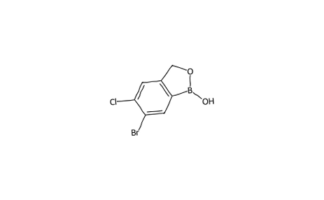 OB1OCc2cc(Cl)c(Br)cc21